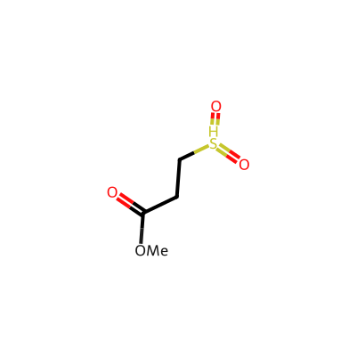 COC(=O)CC[SH](=O)=O